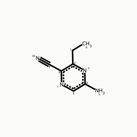 CCc1nc(N)cnc1C#N